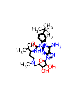 CC(C)C(CCN(C)C[C@H]1O[C@@H](n2cnc3c(N)ncnc32)[C@H](O)[C@@H]1O)NC(=O)Nc1ccc(C(C)(C)C)cc1